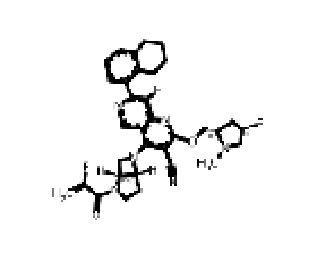 C=C(F)C(=O)N1CC[C@@H]2[C@H]1CN2c1c(C#N)c(OC[C@@H]2C[C@@H](F)CN2C)nc2c(F)c(-c3cccc4c3CCCC4)ncc12